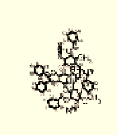 CCC1OC(OC)[C@@H](N=[N+]=[N-])[C@H](OCc2ccccc2)C1O[C@@H]1O[C@@H](C(=O)O)[C@@H](OC2OC(COC(=O)c3ccccc3)C(C)[C@@H](OCc3ccccc3)[C@@H]2N=[N+]=[N-])C(OCc2ccccc2)C1OC(=O)c1ccccc1